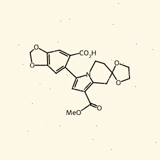 COC(=O)c1cc(-c2cc3c(cc2C(=O)O)OCO3)n2c1CC1(CC2)OCCO1